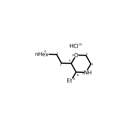 CCCCCCCCC1OCCNC1CC.Cl